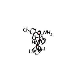 CC(C)(Oc1ccc(Cl)cc1Cl)C(=O)N[C@H]1C[C@H]2CC[C@@H](C1)N2Cc1cccc(C(N)=O)c1